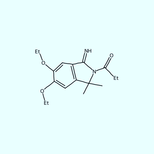 CCOc1cc2c(cc1OCC)C(C)(C)N(C(=O)CC)C2=N